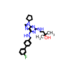 CC(C)(O)CCNc1nc(NCc2ccc(-c3cccc(F)c3)cc2)c2ncn(C3CCCC3)c2n1